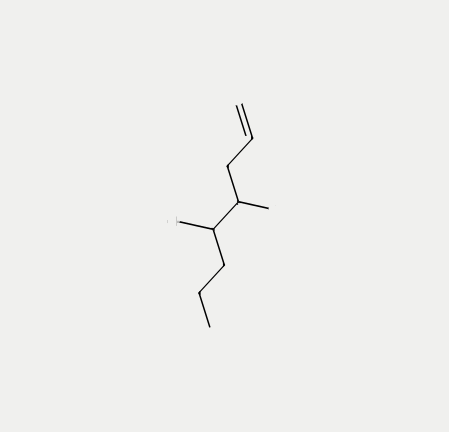 C=CC[C](Cl)C(Cl)CCC